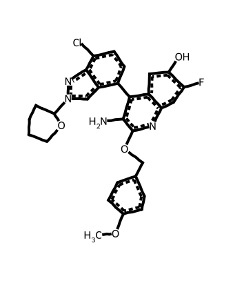 COc1ccc(COc2nc3cc(F)c(O)cc3c(-c3ccc(Cl)c4nn(C5CCCCO5)cc34)c2N)cc1